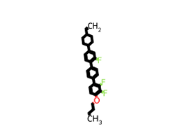 C=CC1CCC(c2ccc(-c3ccc(-c4ccc(OCCCC)c(F)c4F)cc3)c(F)c2)CC1